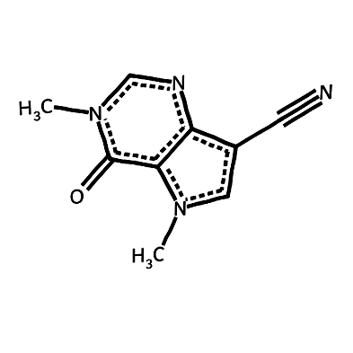 Cn1cnc2c(C#N)cn(C)c2c1=O